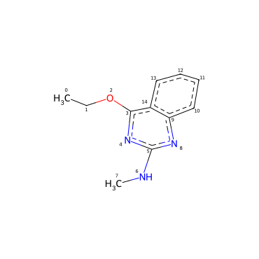 CCOc1nc(NC)nc2ccccc12